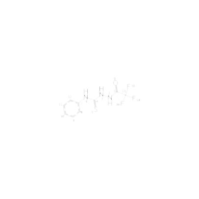 O=C(NNC(=S)Nc1ccccc1)C(F)(F)F